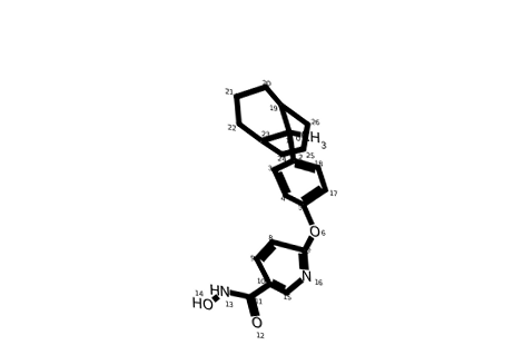 CC1(c2ccc(Oc3ccc(C(=O)NO)cn3)cc2)C2CCCC1CCC2